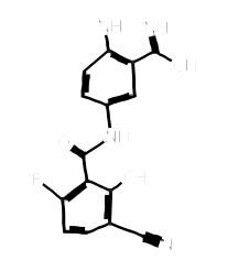 CC(=N)c1cc(NC(=O)c2c(F)ccc(C#N)c2C)ccc1N